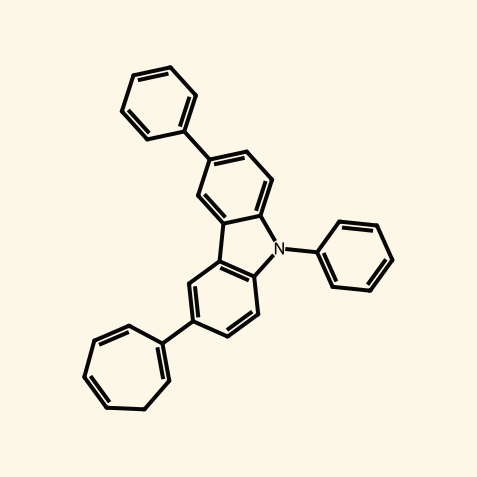 C1=CCC=C(c2ccc3c(c2)c2cc(-c4ccccc4)ccc2n3-c2ccccc2)C=C1